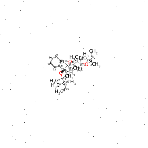 C=C[Si](C)(C)OC(CC)(CC)[Si](C)(C)OC(CC)(CC)[Si](C)(OC(C)(C)[Si](C)(C)C=C)c1ccccc1